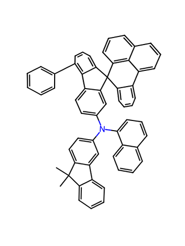 CC1(C)c2ccccc2-c2cc(N(c3ccc4c(c3)C3(c5ccccc5-c5cccc6cccc3c56)c3cccc(-c5ccccc5)c3-4)c3cccc4ccccc34)ccc21